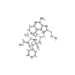 CCOCc1nc2c(N)nc3ccccc3c2n1C[C@@H](C)OP(=O)(N[C@@H](C)C(=O)OC(C)C)Oc1cccnc1